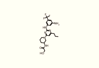 CCCc1cc(N2CCCC(NC(=O)CO)C2)nc(Nc2cc(N)cc(C(F)(F)F)c2)n1